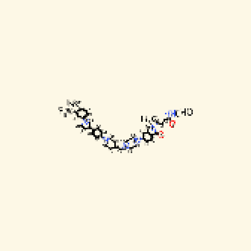 CC(CCC(=O)NC=O)N1Cc2cc(N3CCN(CC4CCN(c5ccc(C6CCN(c7ccc(C#N)c(C(F)(F)F)c7)C6)cc5)CC4)CC3)ccc2C1=O